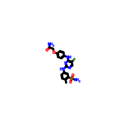 Cc1ccc(Nc2ncc(F)c(Nc3ccc(OCC(N)=O)cc3)n2)cc1S(N)(=O)=O